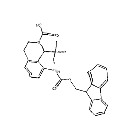 CC(C)(C)C1c2c(cccc2NC(=O)OCC2c3ccccc3-c3ccccc32)CCN1C(=O)O